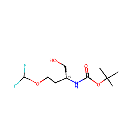 CC(C)(C)OC(=O)N[C@H](CO)CCOC(F)F